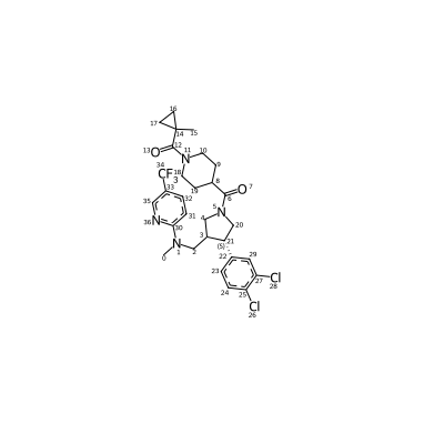 CN(CC1CN(C(=O)C2CCN(C(=O)C3(C)CC3)CC2)C[C@@H]1c1ccc(Cl)c(Cl)c1)c1ccc(C(F)(F)F)cn1